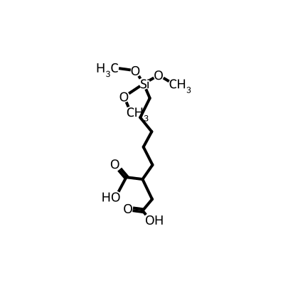 CO[Si](CCCCCC(CC(=O)O)C(=O)O)(OC)OC